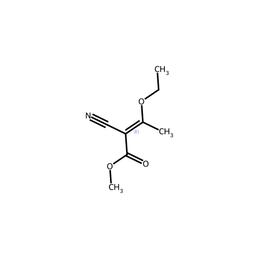 CCO/C(C)=C(\C#N)C(=O)OC